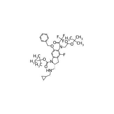 CC(C)(C)OC(=O)CN(C(=O)C(F)(F)F)c1c(OCc2ccccc2)cc2c(c1F)C[C@H](CNCC1CC1)N2C(=O)OC(C)(C)C